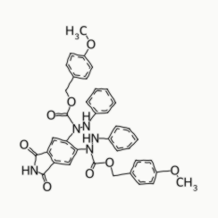 COc1ccc(COC(=O)N(Nc2ccccc2)c2cc3c(cc2N(Nc2ccccc2)C(=O)OCc2ccc(OC)cc2)C(=O)NC3=O)cc1